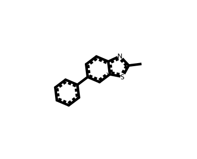 Cc1nc2ccc(-c3ccccc3)cc2s1